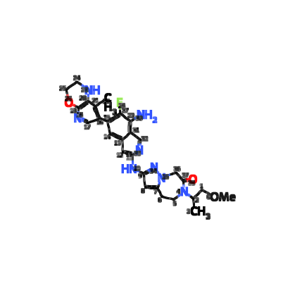 COCC(C)N1CCc2cc(Nc3cc4cc(-c5cnc6c(c5C)NCCO6)c(F)c(N)c4cn3)nn2CC1=O